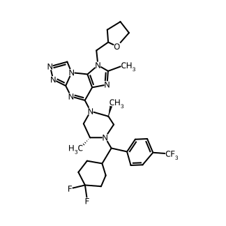 Cc1nc2c(N3C[C@@H](C)N(C(c4ccc(C(F)(F)F)cc4)C4CCC(F)(F)CC4)C[C@@H]3C)nc3nncn3c2n1CC1CCCO1